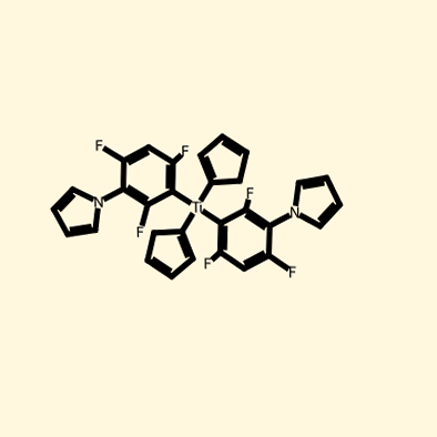 Fc1cc(F)[c]([Ti]([C]2=CC=CC2)([C]2=CC=CC2)[c]2c(F)cc(F)c(-n3cccc3)c2F)c(F)c1-n1cccc1